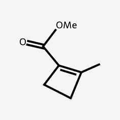 COC(=O)C1=C(C)CC1